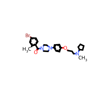 Cc1cc(Br)ccc1C(=O)N1CCN(c2ccc(OCCCN(C)C3CCCC3)cc2)CC1